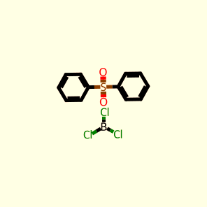 ClB(Cl)Cl.O=S(=O)(c1ccccc1)c1ccccc1